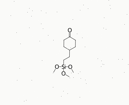 CO[Si](CCC1CCC(=O)CC1)(OC)OC